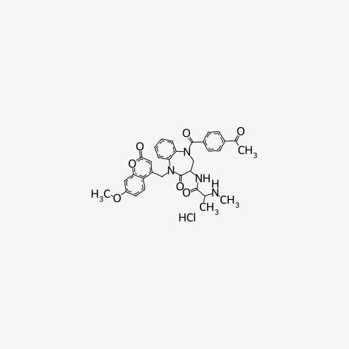 CNC(C)C(=O)NC1CN(C(=O)c2ccc(C(C)=O)cc2)c2ccccc2N(Cc2cc(=O)oc3cc(OC)ccc23)C1=O.Cl